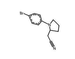 N#CCC1CCCN1c1ccc(Br)cc1